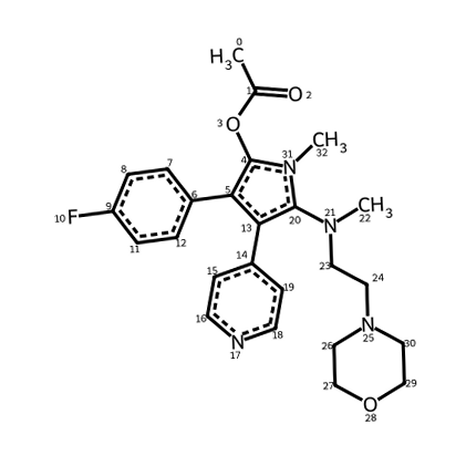 CC(=O)Oc1c(-c2ccc(F)cc2)c(-c2ccncc2)c(N(C)CCN2CCOCC2)n1C